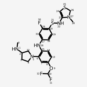 CNC1CCN(c2cc(OC(F)F)ccc2Nc2ccc(SNC3=CSCN3C)c(F)c2)C1